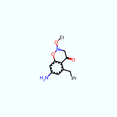 CCON1CC(=O)c2c(CC(C)C)cc(N)cc2O1